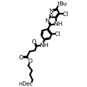 CCCCCCCCCCCCCCOC(=O)CCC(=O)Nc1ccc(-c2nn3nc(C(C)(C)C)c(Cl)c3[nH]2)c(Cl)c1